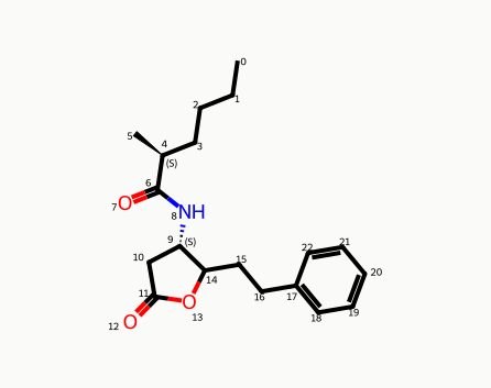 CCCC[C@H](C)C(=O)N[C@H]1CC(=O)OC1CCc1ccccc1